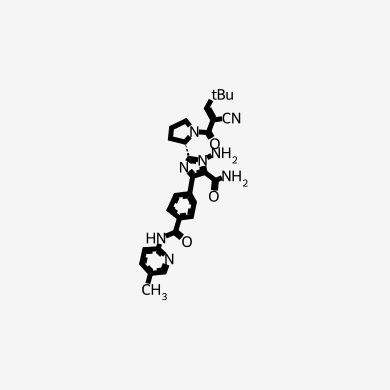 Cc1ccc(NC(=O)c2ccc(-c3nc([C@@H]4CCCN4C(=O)C(C#N)=CC(C)(C)C)n(N)c3C(N)=O)cc2)nc1